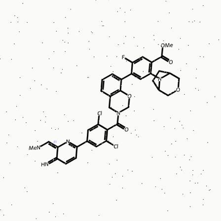 CN/C=C1/N=C(c2cc(Cl)c(C(=O)N3COc4c(cccc4-c4cc(N5C6CCC5COC6)c(C(=O)OC)cc4F)C3)c(Cl)c2)C=CC1=N